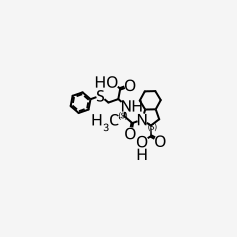 C[C@H](NC(CSc1ccccc1)C(=O)O)C(=O)N1C2CCCCC2C[C@H]1C(=O)O